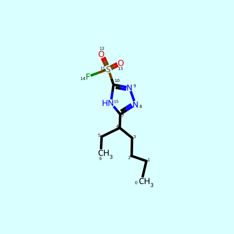 CCCCC(CC)c1nnc(S(=O)(=O)F)[nH]1